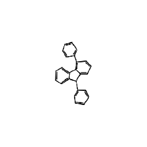 c1ccc(-c2cccc3c2-c2ccccc2C3c2ccccc2)cc1